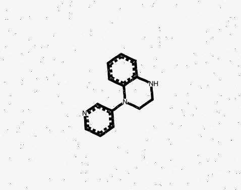 c1cncc(N2CCNc3ccccc32)c1